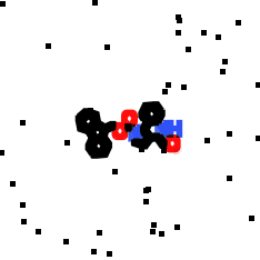 COCC1Nc2ccccc2C2C1CCN2C(=O)OCC1c2ccccc2-c2ccccc21